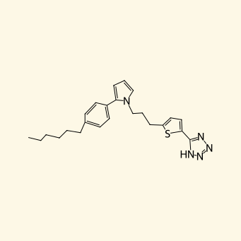 CCCCCCc1ccc(-c2cccn2CCCc2ccc(-c3nnn[nH]3)s2)cc1